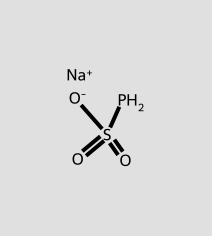 O=S(=O)([O-])P.[Na+]